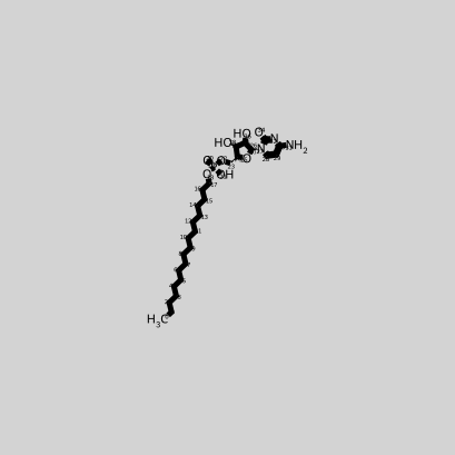 CCCCCCCCCCCCCCCCCCOP(=O)(O)OC[C@H]1O[C@@H](n2ccc(N)nc2=O)C(O)[C@H]1O